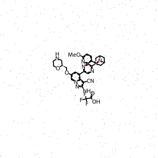 COc1ccc(CN2C3CC2CN(c2cnc(-c4cc(OC[C@@H]5CNCCO5)cn5nc(N)c(C#N)c45)cn2)C3)cn1.O=C(O)C(F)(F)F